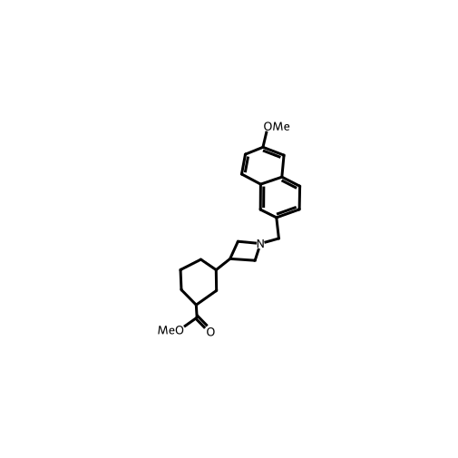 COC(=O)C1CCCC(C2CN(Cc3ccc4cc(OC)ccc4c3)C2)C1